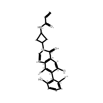 C=CC(=O)NC1CC(n2cnc3c(F)c(-c4c(O)cccc4F)c(Cl)cc3c2=O)C1